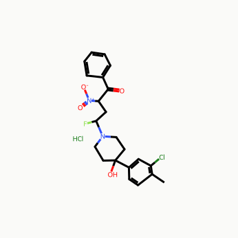 Cc1ccc(C2(O)CCN(C(F)CC(C(=O)c3ccccc3)[N+](=O)[O-])CC2)cc1Cl.Cl